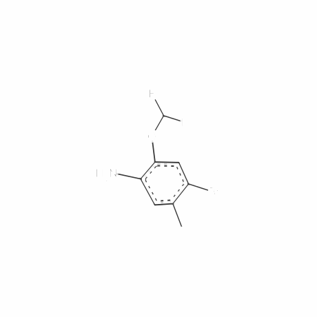 Cc1cc(N)c(OC(F)F)cc1Br